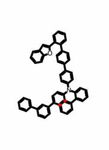 c1ccc(-c2cccc(-c3ccc(N(c4ccc(-c5ccc(-c6ccccc6-c6cc7ccccc7o6)cc5)cc4)c4ccccc4-c4ccccc4)cc3)c2)cc1